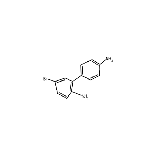 Nc1ccc(-c2cc(Br)ccc2N)cc1